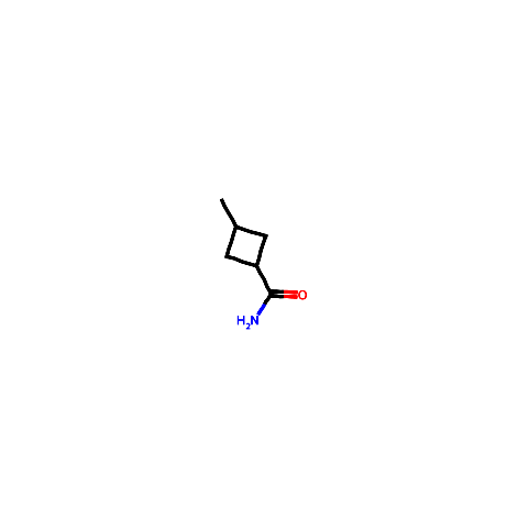 CC1CC(C(N)=O)C1